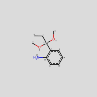 CC[Si](OC)(OC)c1ccccc1N